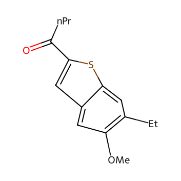 CCCC(=O)c1cc2cc(OC)c(CC)cc2s1